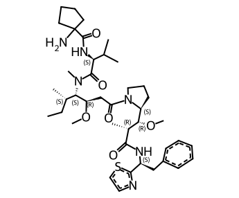 CC[C@H](C)[C@@H]([C@@H](CC(=O)N1CCC[C@H]1[C@H](OC)[C@@H](C)C(=O)N[C@@H](Cc1ccccc1)c1nccs1)OC)N(C)C(=O)[C@@H](NC(=O)C1(N)CCCC1)C(C)C